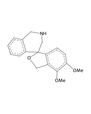 COc1ccc2c(c1OC)COC21CNCc2ccccc21